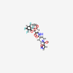 CC(C)(C)OC(=O)C[C@H](NC(=O)C1CCN(C(=O)c2ccno2)CC1)C(=O)COc1c(F)c(F)cc(F)c1F